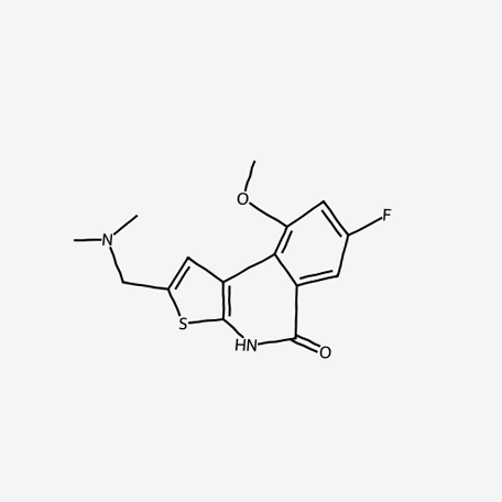 COc1cc(F)cc2c(=O)[nH]c3sc(CN(C)C)cc3c12